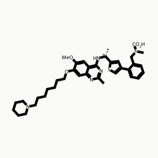 COc1cc2c(N[C@H](C)c3cc(-c4ccccc4CN(C)C(=O)O)cs3)nc(C)nc2cc1OCCCCCCCN1CCCCC1